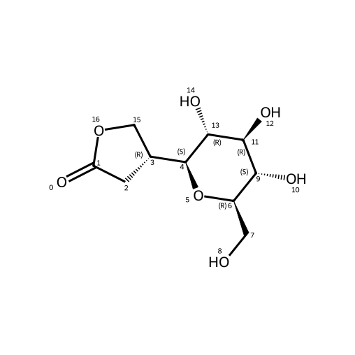 O=C1C[C@@H]([C@@H]2O[C@H](CO)[C@@H](O)[C@H](O)[C@H]2O)CO1